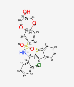 O=S(=O)(NC(c1cc2ccccc2s1)c1ccccc1Cl)c1ccc2c(c1)OC[C@@H](O)CO2